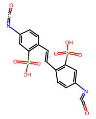 O=C=Nc1ccc(/C=C/c2ccc(N=C=O)cc2S(=O)(=O)O)c(S(=O)(=O)O)c1